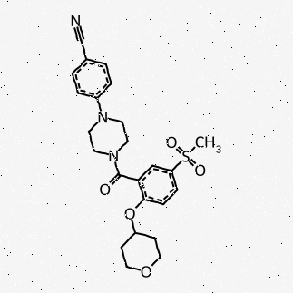 CS(=O)(=O)c1ccc(OC2CCOCC2)c(C(=O)N2CCN(c3ccc(C#N)cc3)CC2)c1